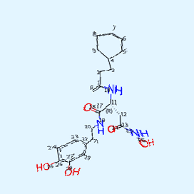 C=C(CCC1CCCCC1)N[C@H](CC(=O)NO)C(=O)NCCc1ccc(O)c(O)c1